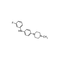 CN1CCN(c2ccc(Nc3cccc(F)c3)cc2)CC1